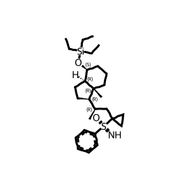 CC[Si](CC)(CC)O[C@H]1CCC[C@]2(C)[C@@H]([C@H](C)CC3(S(=N)(=O)c4ccccc4)CC3)CC[C@@H]12